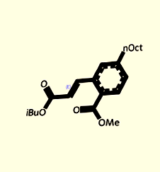 CCCCCCCCc1ccc(C(=O)OC)c(/C=C/C(=O)OCC(C)C)c1